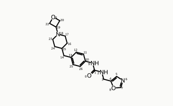 O=C(NCc1cnco1)Nc1ccc(CC2CCN(C3COC3)CC2)cc1